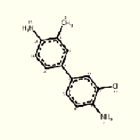 Cc1cc(-c2ccc(N)c(Cl)c2)ccc1N